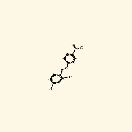 O=[N+]([O-])c1[c]cc(OCc2ccc(Cl)cc2Cl)cc1